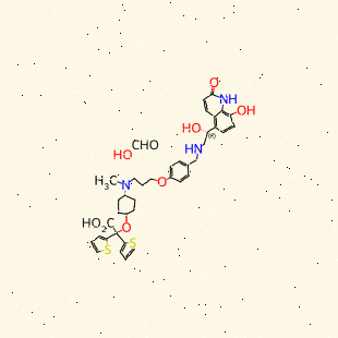 CN(CCCOc1ccc(CNC[C@H](O)c2ccc(O)c3[nH]c(=O)ccc23)cc1)[C@H]1CC[C@H](OC(C(=O)O)(c2cccs2)c2cccs2)CC1.O=CO